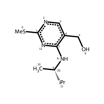 CSc1ncc(CO)c(N[C@@H](C)C(C)C)n1